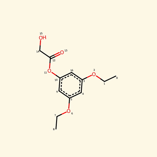 CCOc1cc(OCC)cc(OC(=O)CO)c1